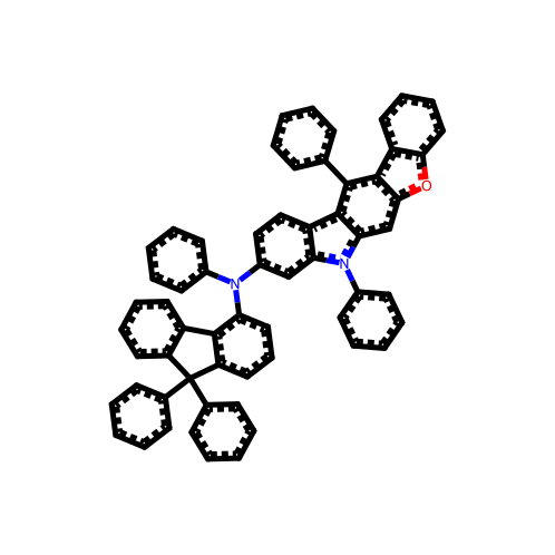 c1ccc(-c2c3c(cc4c2c2ccc(N(c5ccccc5)c5cccc6c5-c5ccccc5C6(c5ccccc5)c5ccccc5)cc2n4-c2ccccc2)oc2ccccc23)cc1